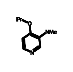 CNc1cnccc1OC(C)C